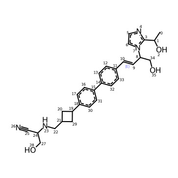 CC(O)c1nccn1C(/C=C/c1ccc(-c2ccc(C3CC(CNC(C#N)CO)C3)cc2)cc1)CO